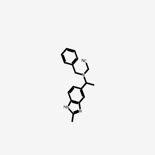 Cc1nc2cc(C(C)N(CC#N)Cc3ccccc3)ccc2[nH]1